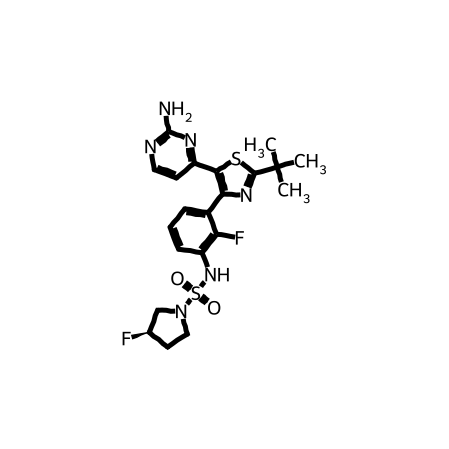 CC(C)(C)c1nc(-c2cccc(NS(=O)(=O)N3CC[C@@H](F)C3)c2F)c(-c2ccnc(N)n2)s1